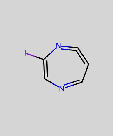 IC1=CN=CC=C=N1